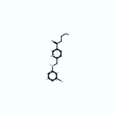 CC(C)(C)CCC(=O)c1ccc(COc2cccc(F)c2)nc1